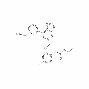 CCOC(=O)Cc1ccc(F)cc1OCc1cc(-c2cccc(CN)c2)c2occc2c1